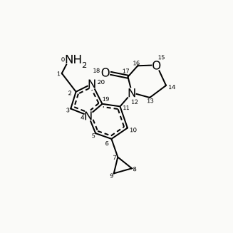 NCc1cn2cc(C3CC3)cc(N3CCOCC3=O)c2n1